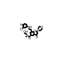 CN(CCO)C(=O)c1cc(CCNc2ccc(F)c(Cl)c2)c2oc(N3CCOCC3)cc(=O)c2c1